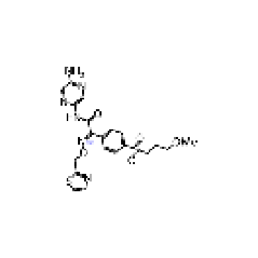 COCCCS(=O)(=O)c1ccc(/C(=N\OCc2nccs2)C(=O)Nc2cnc(N)cn2)cc1